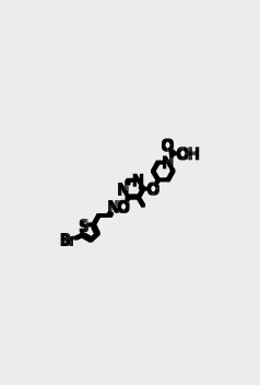 Cc1c(ON=CCc2ccc(Br)s2)ncnc1OC1CCN(C(=O)O)CC1